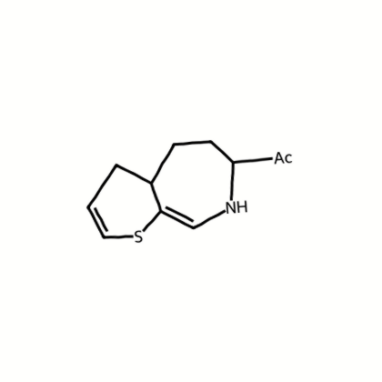 CC(=O)C1CCC2CC=CSC2=CN1